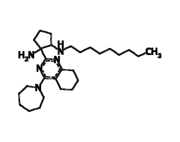 CCCCCCCCCNC1CCCC1(N)c1nc2c(c(N3CCCCCC3)n1)CCCC2